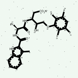 Cc1c(C(=O)N[C@H](C(=O)NC(CC(=O)O)C(O)COc2c(F)c(F)cc(F)c2F)C(C)C)[nH]c2ccccc12